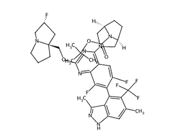 Cc1cc2[nH]nc(C)c2c(-c2c(F)cc3c(N4C[C@H]5CC[C@@H](C4)N5C(=O)OC(C)(C)C)nc(OC[C@@]45CCCN4C[C@H](F)C5)nc3c2F)c1C(F)(F)F